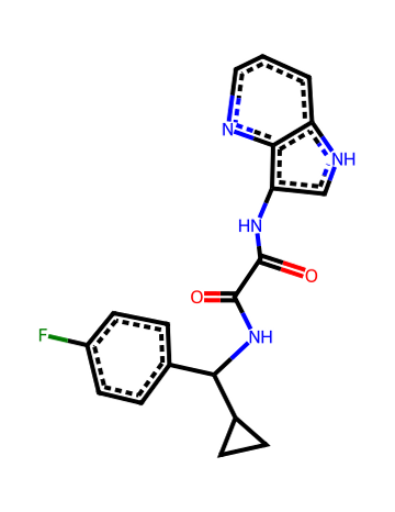 O=C(Nc1c[nH]c2cccnc12)C(=O)NC(c1ccc(F)cc1)C1CC1